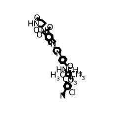 CC1(C)C(NC(=O)c2ccc(N3CCC(N4Cc5cc6c(cc5C4)C(=O)N(C4CCC(=O)NC4=O)C6=O)CC3)cc2)C(C)(C)C1Oc1ccc(C#N)c(Cl)c1